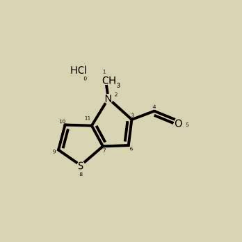 Cl.Cn1c(C=O)cc2sccc21